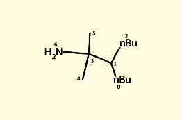 CCCCC(CCCC)C(C)(C)N